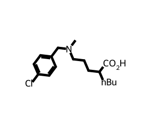 CCCCC(CCCN(C)Cc1ccc(Cl)cc1)C(=O)O